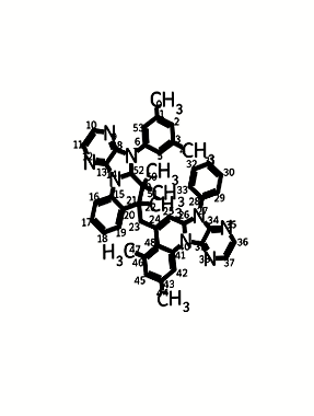 Cc1cc(C)cc(N2c3nccnc3N3c4ccccc4C(C)(CC4=CC5N(c6ccccc6)c6nccnc6N5c5cc(C)cc(C)c54)C(C)(C)C23)c1